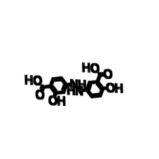 O=C(O)c1ccc(NNc2ccc(O)c(C(=O)O)c2)cc1O